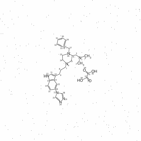 CN(C)CC1CN(CCCc2c[nH]c3ccc(-n4cnnc4)cc23)CCN1Cc1ccccc1.O=C(O)C(=O)O